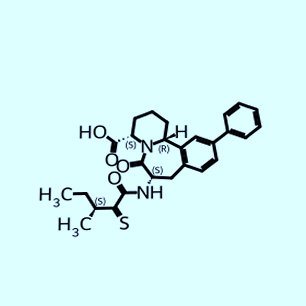 CC[C@H](C)C(=S)C(=O)N[C@H]1Cc2ccc(-c3ccccc3)cc2[C@H]2CCC[C@@H](C(=O)O)N2C1=O